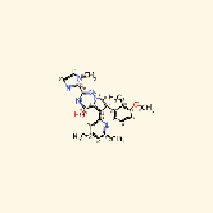 COc1cccc(-c2cn3nc(-c4nccn4C)nc(O)c3c2-c2cc(C)cc(C)n2)c1C